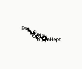 CCCCCCCc1ccc(-c2ncc(OC(=O)CCCCC(C)CC)cn2)cc1